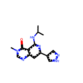 CC(C)Nc1nc(-c2cn[nH]c2)cc2ncn(C)c(=O)c12